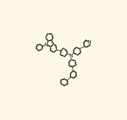 c1ccc(-c2cccc(-c3ccc(N(c4ccc(-c5ccncc5)cc4)c4ccc(-c5ccc6c(c5)c5ccccc5n6-c5ccccc5)cc4)cc3)c2)cc1